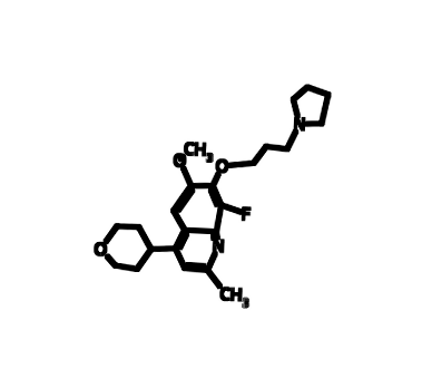 COc1cc2c(C3CCOCC3)cc(C)nc2c(F)c1OCCCN1CCCC1